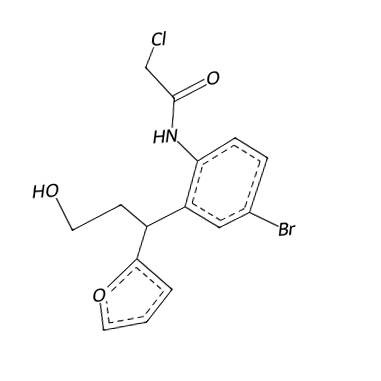 O=C(CCl)Nc1ccc(Br)cc1C(CCO)c1ccco1